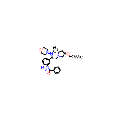 COCO[C@H]1CCN(C[C@H](c2ccccc2)N(C)N2CCOCC2)C1.NC(=O)c1ccccc1